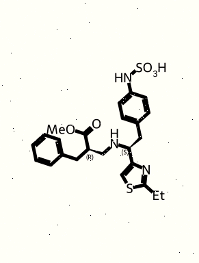 CCc1nc([C@H](Cc2ccc(NS(=O)(=O)O)cc2)NC[C@@H](Cc2ccccc2)C(=O)OC)cs1